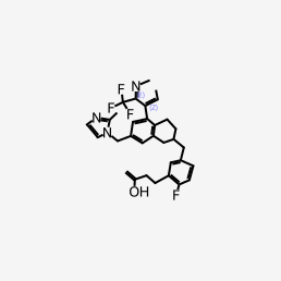 C=C(O)CCc1cc(CC2CCc3c(cc(Cn4ccnc4C)cc3C(=C/C)/C(=N\C)C(F)(F)F)C2)ccc1F